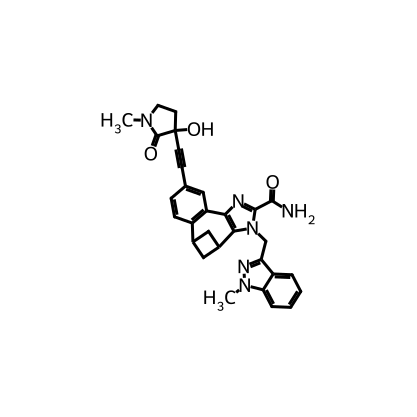 CN1CCC(O)(C#Cc2ccc3c(c2)-c2nc(C(N)=O)n(Cc4nn(C)c5ccccc45)c2C2CC3C2)C1=O